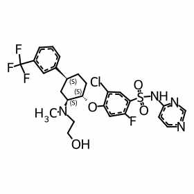 CN(CCO)[C@H]1C[C@@H](c2cccc(C(F)(F)F)c2)CC[C@@H]1Oc1cc(F)c(S(=O)(=O)Nc2ccncn2)cc1Cl